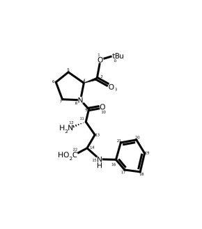 CC(C)(C)OC(=O)[C@@H]1CCCN1C(=O)[C@@H](N)CC(Nc1ccccc1)C(=O)O